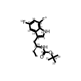 CC[C@@H](Cc1c[nH]c2c(F)cc(F)cc12)NC(=O)OC(C)(C)C